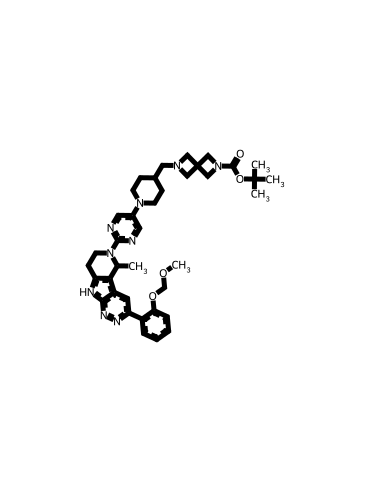 COCOc1ccccc1-c1cc2c3c([nH]c2nn1)CCN(c1ncc(N2CCC(CN4CC5(C4)CN(C(=O)OC(C)(C)C)C5)CC2)cn1)C3C